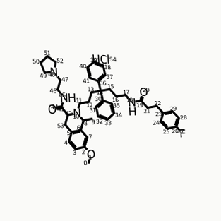 COc1ccc2c(c1)C(C)N(CCCC(CCCNC(=O)CCc1ccc(F)cc1)(c1ccccc1)c1ccccc1)C(C(=O)NCCN1CCCC1)C2.Cl